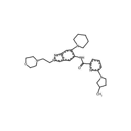 CC1CCN(c2cccc(C(=O)Nc3cc4cn(CCN5CCOCC5)nc4cc3N3CCCCC3)n2)C1